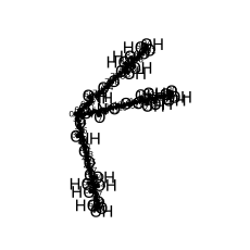 CC(COCCC(=O)NCCOCCOCCOC(O)C(O)C(O)C(O)CCOP(=O)(O)O)(COCCC(=O)NCCOCCOCCOC(O)C(O)C(O)C(O)CCOP(=O)(O)O)COCCC(=O)NCCOCCOCCOC(O)C(O)C(O)C(O)CCOP(=O)(O)O